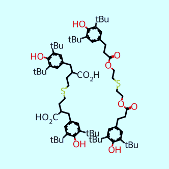 CC(C)(C)c1cc(CC(CCSCCC(Cc2cc(C(C)(C)C)c(O)c(C(C)(C)C)c2)C(=O)O)C(=O)O)cc(C(C)(C)C)c1O.CC(C)(C)c1cc(CCC(=O)OCCSCCOC(=O)CCc2cc(C(C)(C)C)c(O)c(C(C)(C)C)c2)cc(C(C)(C)C)c1O